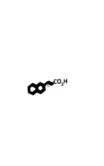 O=C(O)/C=C/c1ccc2c(c1)=CCCC=2